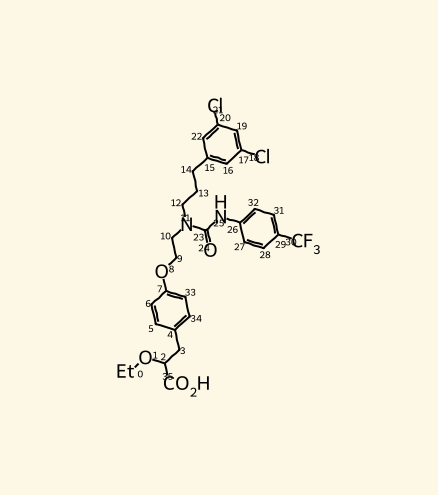 CCOC(Cc1ccc(OCCN(CCCc2cc(Cl)cc(Cl)c2)C(=O)Nc2ccc(C(F)(F)F)cc2)cc1)C(=O)O